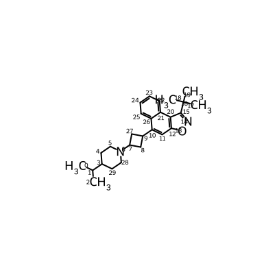 CC(C)C1CCN(C2CC(c3cc4onc(C(C)(C)C)c4c4ccccc34)C2)CC1